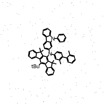 Cc1ccccc1-c1ccc(N(c2ccc3c4ccccc4n(-c4ccccc4)c3c2)c2c3c(c(C(C)(C)C)c4c2C(C)(C)c2ccccc2-4)-c2ccccc2C3(C)C)cc1C